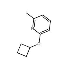 Ic1cccc(OC2CCC2)n1